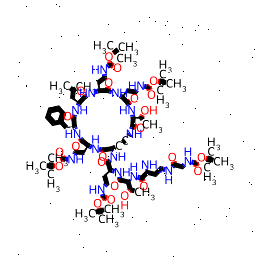 CC(C)C[C@@H]1NC(=O)[C@@H](Cc2ccccc2)NC(=O)[C@H](CCNC(=O)OC(C)(C)C)NC(=O)[C@@H](NC(=O)[C@H](CCNC(=O)OC(C)(C)C)NC(=O)[C@@H](NC(=O)[C@@H](N)CCNC(=O)CNC(=O)OC(C)(C)C)C(C)O)CCNC(=O)[C@H](C(C)O)NC(=O)[C@H](CCNC(=O)OC(C)(C)C)NC(=O)[C@H](CCNC(=O)OC(C)(C)C)NC1=O